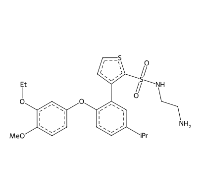 CCOc1cc(Oc2ccc(C(C)C)cc2-c2ccsc2S(=O)(=O)NCCN)ccc1OC